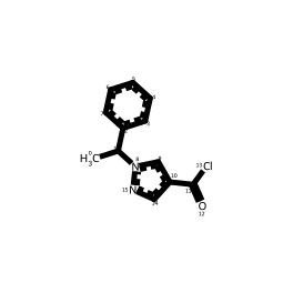 CC(c1ccccc1)n1cc(C(=O)Cl)cn1